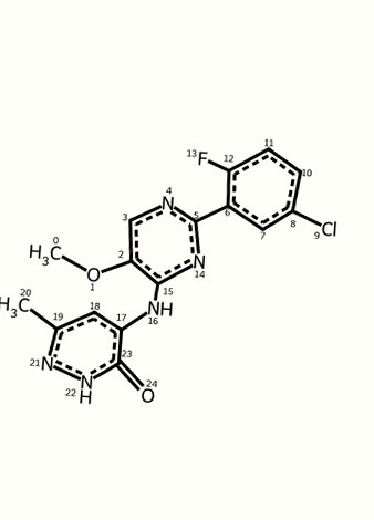 COc1cnc(-c2cc(Cl)ccc2F)nc1Nc1cc(C)n[nH]c1=O